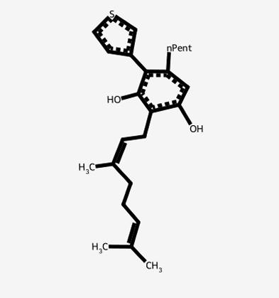 CCCCCc1cc(O)c(CC=C(C)CCC=C(C)C)c(O)c1-c1ccsc1